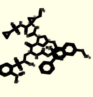 C=C[C@@H]1C[C@]1(NC(=O)[C@@H]1C[C@@H](Oc2cc(-c3ccccc3)nc3cc(OC)ccc23)CN1C(=O)[C@H](CN(C)S(=O)(=O)c1ccccc1[N+](=O)[O-])NC(=O)OC(C)(C)C)C(=O)NS(=O)(=O)C1CC1